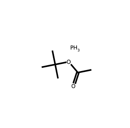 CC(=O)OC(C)(C)C.P